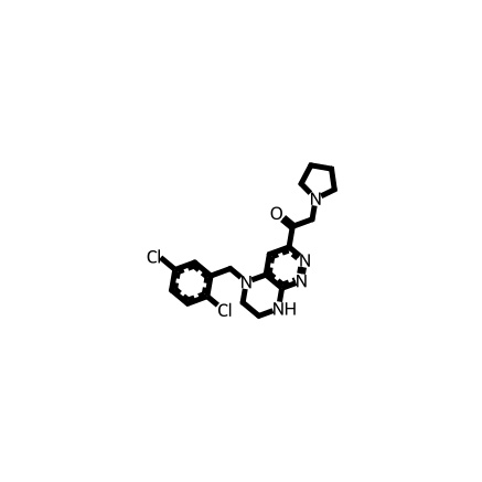 O=C(CN1CCCC1)c1cc2c(nn1)NCCN2Cc1cc(Cl)ccc1Cl